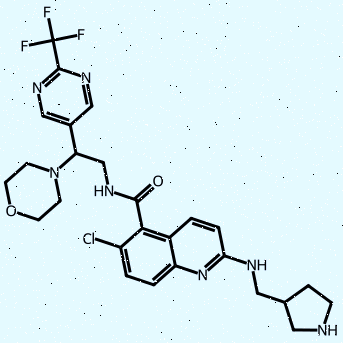 O=C(NCC(c1cnc(C(F)(F)F)nc1)N1CCOCC1)c1c(Cl)ccc2nc(NCC3CCNC3)ccc12